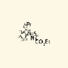 CCOC(=O)c1csc(-n2cc(CC(C)C)c3ccccc32)n1